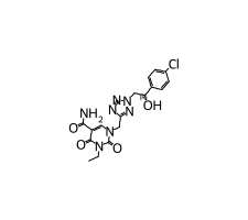 CCn1c(=O)c(C(N)=O)cn(Cc2nnn(C[C@H](O)c3ccc(Cl)cc3)n2)c1=O